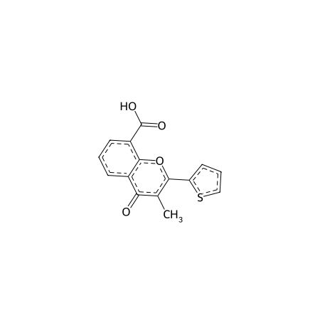 Cc1c(-c2cccs2)oc2c(C(=O)O)cccc2c1=O